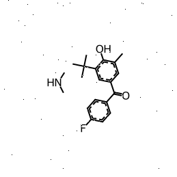 CNC.Cc1cc(C(=O)c2ccc(F)cc2)cc(C(C)(C)C)c1O